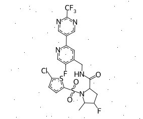 CC1C(F)CC(C(=O)NCc2cc(-c3cnc(C(F)(F)F)nc3)ncc2F)N1S(=O)(=O)c1ccc(Cl)s1